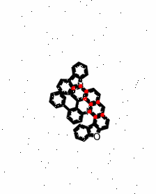 c1ccc(-c2ccccc2-c2c(-c3ccccc3)cccc2N(c2cccc(-n3c4ccccc4c4ccccc43)c2)c2cccc3oc4ccccc4c23)cc1